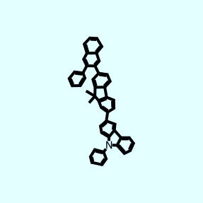 CC1(C)c2cc(-c3ccc4c(c3)c3ccccc3n4-c3ccccc3)ccc2-c2ccc(-c3cc4ccccc4cc3-c3ccccc3)cc21